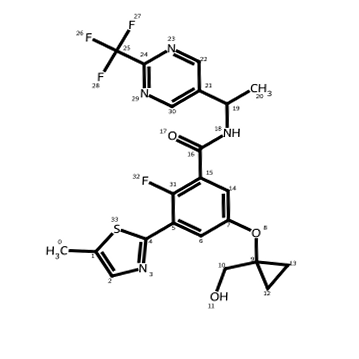 Cc1cnc(-c2cc(OC3(CO)CC3)cc(C(=O)NC(C)c3cnc(C(F)(F)F)nc3)c2F)s1